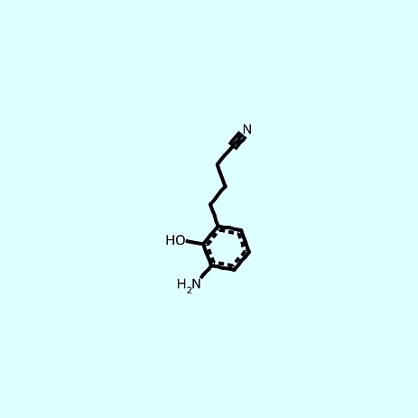 N#CCCCc1cccc(N)c1O